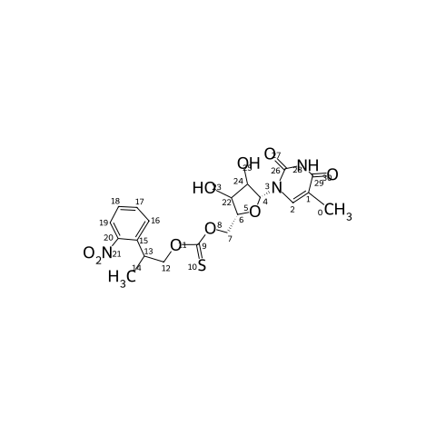 Cc1cn([C@@H]2O[C@H](COC(=S)OCC(C)c3ccccc3[N+](=O)[O-])C(O)C2O)c(=O)[nH]c1=O